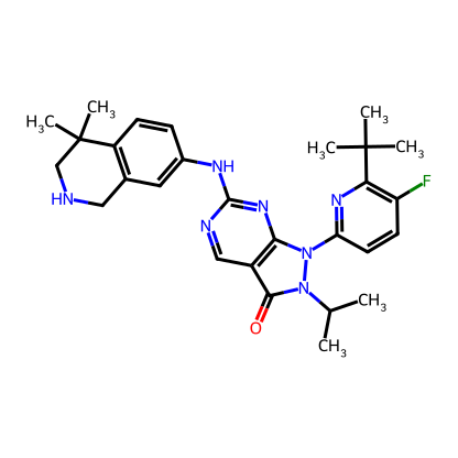 CC(C)n1c(=O)c2cnc(Nc3ccc4c(c3)CNCC4(C)C)nc2n1-c1ccc(F)c(C(C)(C)C)n1